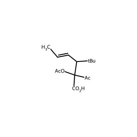 CC=CC(C(C)(C)C)C(OC(C)=O)(C(C)=O)C(=O)O